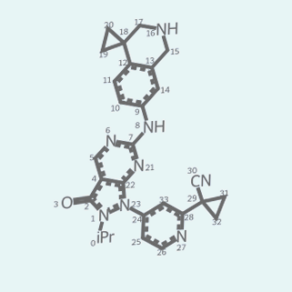 CC(C)n1c(=O)c2cnc(Nc3ccc4c(c3)CNCC43CC3)nc2n1-c1ccnc(C2(C#N)CC2)c1